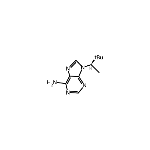 C[C@@H](n1cnc2c(N)ncnc21)C(C)(C)C